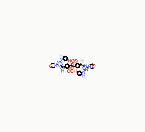 O=S(=O)(O)c1cc([AsH]c2nc(Nc3ccccc3)nc(N3CCOCC3)n2)ccc1/C=C/c1ccc([AsH]c2nc(Nc3ccccc3)nc(N3CCOCC3)n2)cc1S(=O)(=O)O